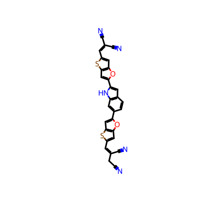 N#CC/C(C#N)=C/c1cc2oc(-c3ccc4cc(-c5cc6sc(C=C(C#N)C#N)cc6o5)[nH]c4c3)cc2s1